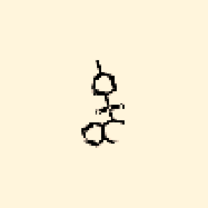 Cc1ccc(S(=O)(=O)C(C)c2ccncc2F)nc1